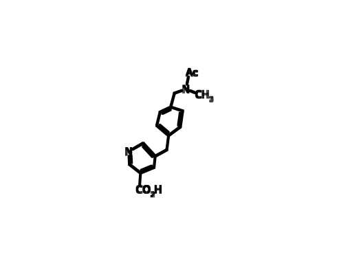 CC(=O)N(C)Cc1ccc(Cc2cncc(C(=O)O)c2)cc1